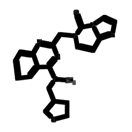 CN(CC1CCOC1)c1nc(Cn2ccc3nccn3c2=O)nc2ccccc12